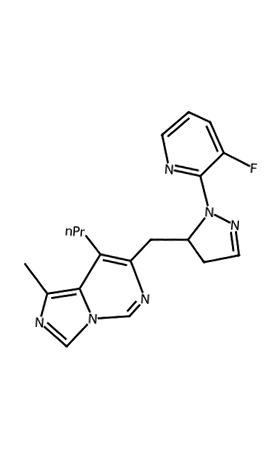 CCCc1c(CC2CC=NN2c2ncccc2F)ncn2cnc(C)c12